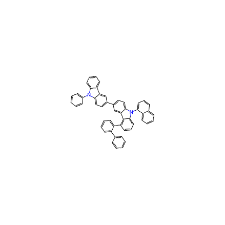 c1ccc(-c2ccccc2-c2cccc3c2c2cc(-c4ccc5c(c4)c4ccccc4n5-c4ccccc4)ccc2n3-c2cccc3ccccc23)cc1